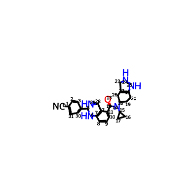 N#Cc1ccc(CNc2cccc(C(=O)N(C3CC3)C3CCC4=C(CNN4)C3)c2C=N)cc1